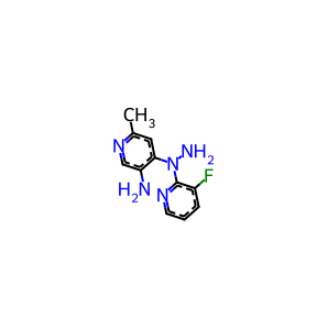 Cc1cc(N(N)c2ncccc2F)c(N)cn1